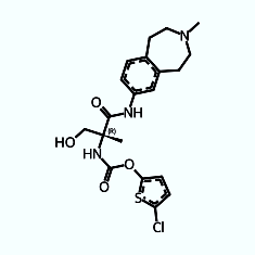 CN1CCc2ccc(NC(=O)[C@@](C)(CO)NC(=O)Oc3ccc(Cl)s3)cc2CC1